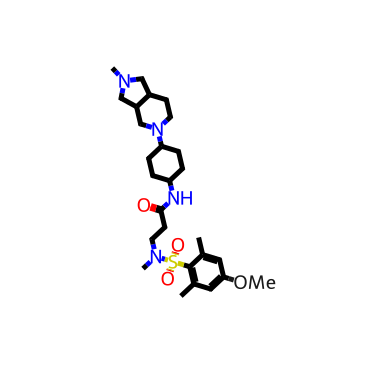 COc1cc(C)c(S(=O)(=O)N(C)CCC(=O)NC2CCC(N3CCC4CN(C)CC4C3)CC2)c(C)c1